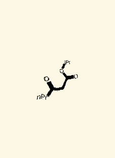 CCCC(=O)CC(=O)OC(C)C